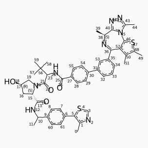 Cc1ncsc1-c1ccc(C(C)NC(=O)[C@@H]2C[C@@H](O)CN2C(=O)C(NC(=O)c2ccc(-c3cccc(C4=N[C@@H](C)c5nnc(C)n5-c5sc(C)c(C)c54)c3)cc2)C(C)(C)C)cc1